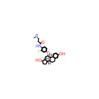 CN(C)CCC(=O)Nc1ccc(O[C@H]2C[C@]3(C)[C@@H](O)CC[C@H]3[C@@H]3CCc4cc(O)ccc4[C@H]32)cc1F